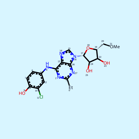 CCc1nc(Nc2ccc(O)c(Cl)c2)c2ncn([C@@H]3O[C@H](COC)C(O)C3O)c2n1